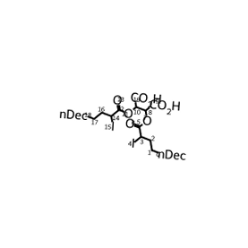 CCCCCCCCCCCCC(I)C(=O)OC(C(=O)O)C(OC(=O)C(I)CCCCCCCCCCCC)C(=O)O